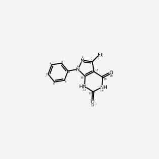 CCc1nn(-c2ccccc2)c2[nH]c(=O)[nH]c(=O)c12